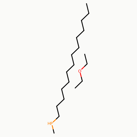 CCCCCCCCCCCCCCPC.CCOCC